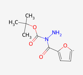 CC(C)(C)OC(=O)N(N)C(=O)c1cc[c]o1